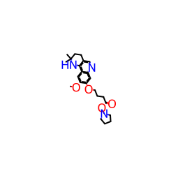 COc1cc2c3c(cnc2cc1OCCCC(=O)ON1CCCC1)CCC(C)(C)N3